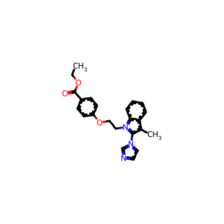 CCOC(=O)c1ccc(OCCn2c(-n3ccnc3)c(C)c3ccccc32)cc1